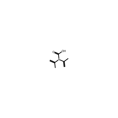 C=C(C)N(C(=C)C)C(=O)O